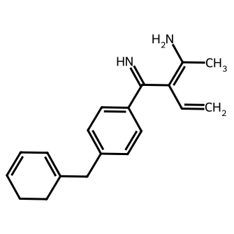 C=C/C(C(=N)c1ccc(CC2=CC=CCC2)cc1)=C(\C)N